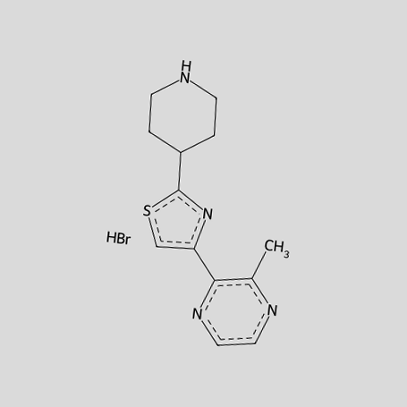 Br.Cc1nccnc1-c1csc(C2CCNCC2)n1